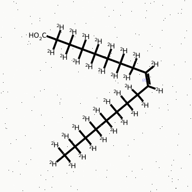 [2H]/C(=C(\[2H])C([2H])([2H])C([2H])([2H])C([2H])([2H])C([2H])([2H])C([2H])([2H])C([2H])([2H])C([2H])([2H])C([2H])([2H])[2H])C([2H])([2H])C([2H])([2H])C([2H])([2H])C([2H])([2H])C([2H])([2H])C([2H])([2H])C([2H])([2H])C(=O)O